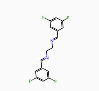 Fc1cc(F)cc(/C=N/CC/N=C/c2cc(F)cc(F)c2)c1